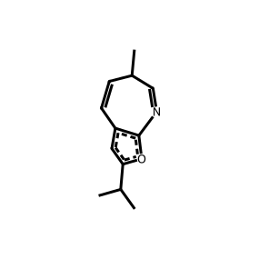 CC1C=Cc2cc(C(C)C)oc2N=C1